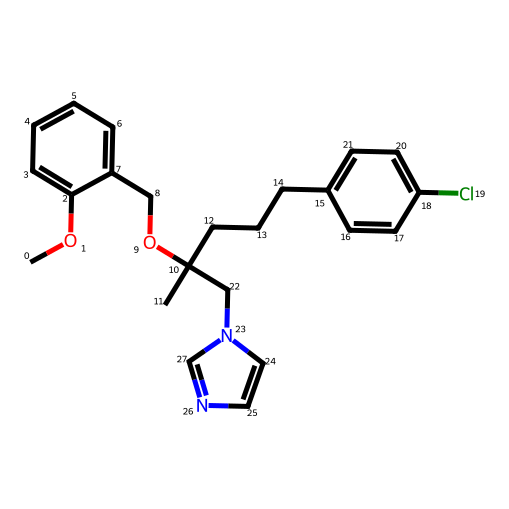 COc1ccccc1COC(C)(CCCc1ccc(Cl)cc1)Cn1ccnc1